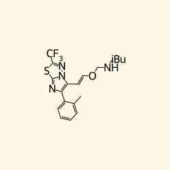 CCC(C)NCO/C=C/c1c(-c2ccccc2C)nc2sc(C(F)(F)F)nn12